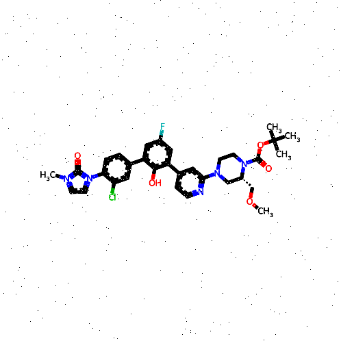 COC[C@@H]1CN(c2cc(-c3cc(F)cc(-c4ccc(-n5ccn(C)c5=O)c(Cl)c4)c3O)ccn2)CCN1C(=O)OC(C)(C)C